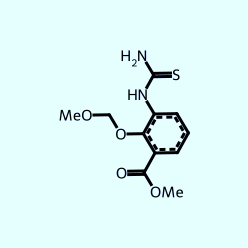 COCOc1c(NC(N)=S)cccc1C(=O)OC